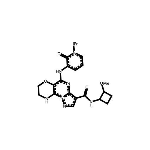 COC1CCC1NC(=O)c1cnn2c3c(c(Nc4cccn(C(C)C)c4=O)nc12)OCCN3